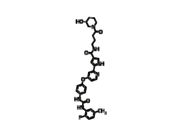 Cc1ccc(F)c(NC(=O)Nc2ccc(Oc3ccnc(-c4cc(C(=O)NCCCC(=O)N5CCCC(O)C5)c[nH]4)c3)cc2)c1